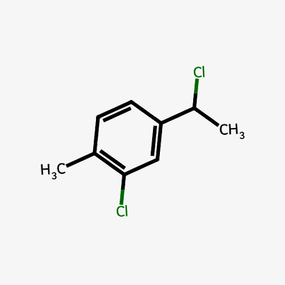 Cc1ccc(C(C)Cl)cc1Cl